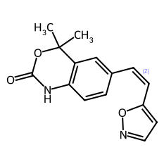 CC1(C)OC(=O)Nc2ccc(/C=C\c3ccno3)cc21